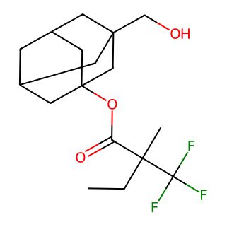 CCC(C)(C(=O)OC12CC3CC(CC(CO)(C3)C1)C2)C(F)(F)F